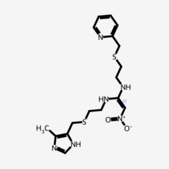 Cc1nc[nH]c1CSCCN/C(=C\[N+](=O)[O-])NCCSCc1ccccn1